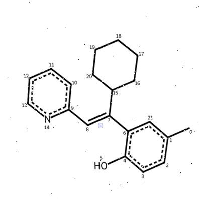 Cc1ccc(O)c(/C(=C/c2ccccn2)C2CCCCC2)c1